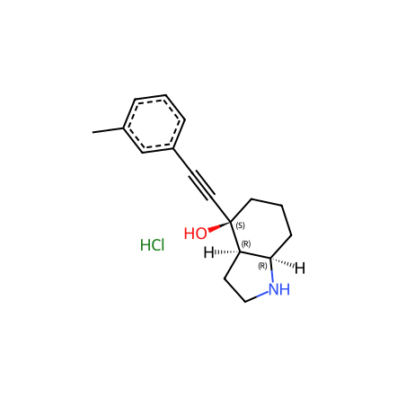 Cc1cccc(C#C[C@]2(O)CCC[C@H]3NCC[C@H]32)c1.Cl